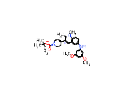 C=Nc1ccc(Nc2cc(OC)cc(OC)c2)cc1/C=C(\CC)C1=CCN(C(=O)OC(C)(C)C)CC1